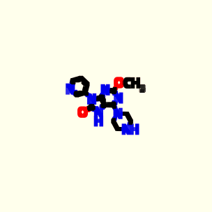 COc1nc(N2CCNCC2)c2[nH]c(=O)n(-c3cccnc3)c2n1